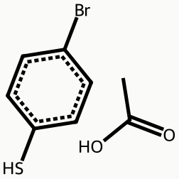 CC(=O)O.Sc1ccc(Br)cc1